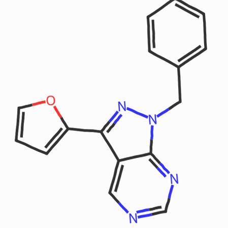 c1ccc(Cn2nc(-c3ccco3)c3cncnc32)cc1